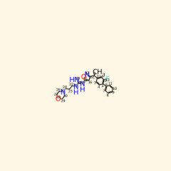 CC(c1ccc(-c2ccccc2)c(F)c1)c1cc(NC(=N)NCCCN2CCOCC2)on1